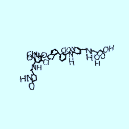 COc1nc(O[C@H]2CCc3c(-c4cccc(C(=O)Nc5ccc(CNCC(O)CC(=O)O)cn5)c4Cl)cccc32)c(Cl)cc1CNCC1CCC(=O)N1